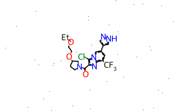 CCOCCOC1CCN(C(=O)c2nc3c(C(F)(F)F)cc(-c4cn[nH]c4)cn3c2Cl)C1